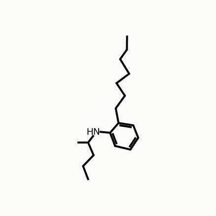 CCCCCCCc1ccccc1NC(C)CCC